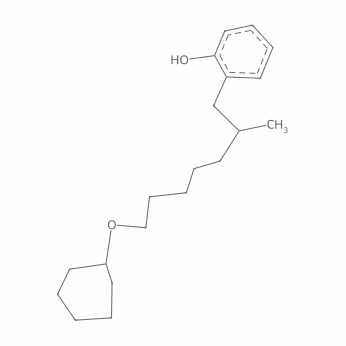 CC(CCCCCOC1CCCCC1)Cc1ccccc1O